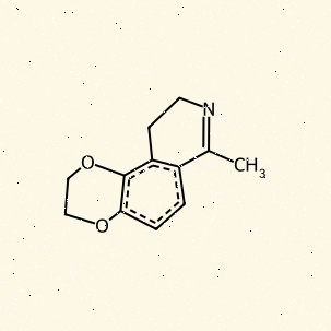 CC1=NCCc2c1ccc1c2OCCO1